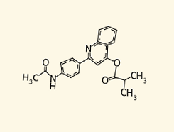 CC(=O)Nc1ccc(-c2cc(OC(=O)C(C)C)c3ccccc3n2)cc1